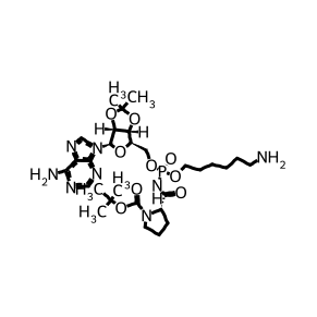 CC(C)(C)OC(=O)N1CCC[C@H]1C(=O)NP(=O)(OCCCCCCN)OC[C@H]1O[C@@H](n2cnc3c(N)ncnc32)[C@@H]2OC(C)(C)O[C@@H]21